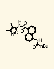 CCCCC(=O)Nc1cccc2c(S(=O)(=O)Nc3onc(C)c3C)cccc12